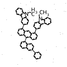 CCn1c2ccccc2c2cc(-c3cccc4c(-c5cccc6cc(-c7ccccc7)ccc56)c5cccc(-c6ccc7c(c6)c6ccccc6n7CC)c5cc34)ccc21